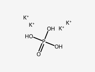 O=P(O)(O)O.[K+].[K+].[K+].[K+]